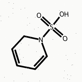 O=S(=O)(O)N1C=CC=CC1